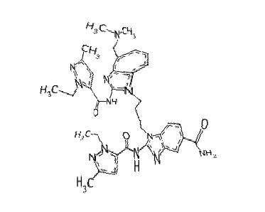 CCn1nc(C)cc1C(=O)Nc1nc2cc(C(N)=O)ccc2n1CCCCn1c(NC(=O)c2cc(C)nn2CC)nc2c(CN(C)C)cccc21